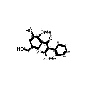 COc1oc2c(CO)cc(O)c(OC)c2c(=O)c1-c1ccccc1